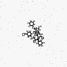 CCCN(C(=O)NCc1ccccc1)N1CC(=O)N2[C@@H](c3ccccc3)C(=O)N(Cc3cccc(Cl)c3)C[C@@H]21